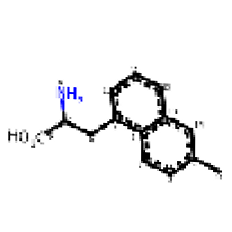 Cc1ccc2c(CC(N)C(=O)O)cccc2c1